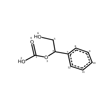 O=C(O)OC(CO)c1ccccc1